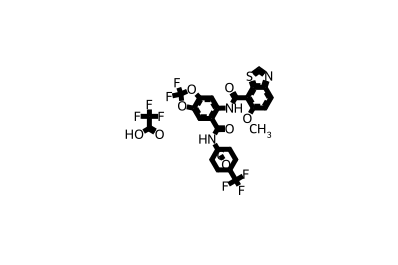 COc1ccc2ncsc2c1C(=O)Nc1cc2c(cc1C(=O)NC13CCC(C(F)(F)F)(CC1)OC3)OC(F)(F)O2.O=C(O)C(F)(F)F